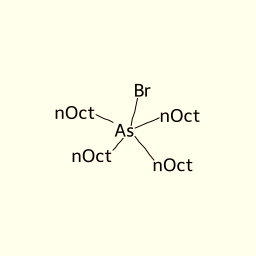 CCCCCCCC[As](Br)(CCCCCCCC)(CCCCCCCC)CCCCCCCC